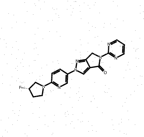 O=C1c2cn(-c3ccc(N4CC[C@H](F)C4)nc3)nc2CN1c1ncccn1